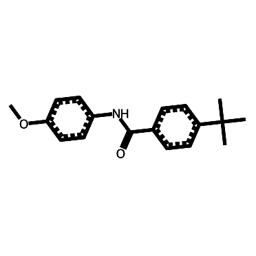 COc1ccc(NC(=O)c2ccc(C(C)(C)C)cc2)cc1